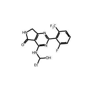 CCC(O)Nc1nc(-c2c(F)cccc2C(F)(F)F)nc2c1C(=O)NC2